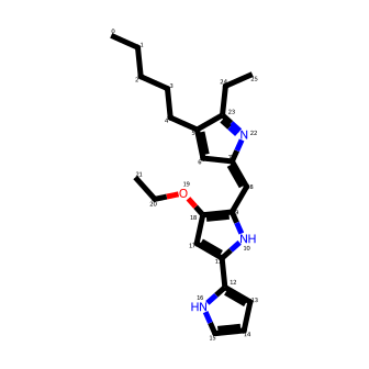 CCCCCC1=CC(=Cc2[nH]c(-c3ccc[nH]3)cc2OCC)N=C1CC